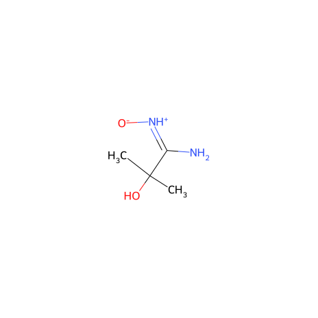 CC(C)(O)/C(N)=[NH+]\[O-]